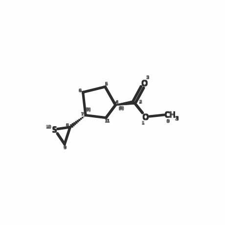 COC(=O)[C@@H]1CC[C@@H](C2CS2)C1